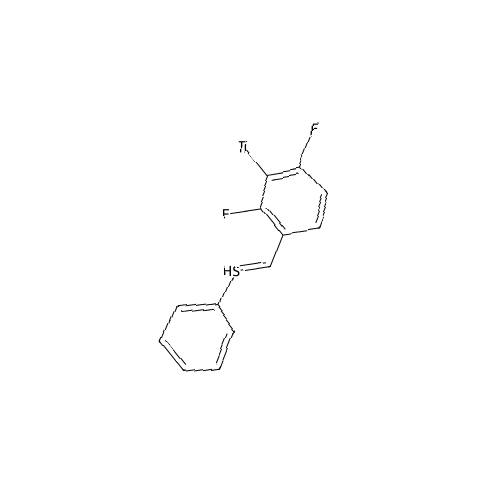 Fc1ccc(C=[SH]c2ccccc2)c(F)[c]1[Ti]